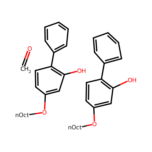 C=O.CCCCCCCCOc1ccc(-c2ccccc2)c(O)c1.CCCCCCCCOc1ccc(-c2ccccc2)c(O)c1